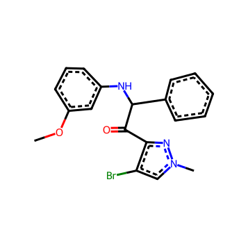 COc1cccc(NC(C(=O)c2nn(C)cc2Br)c2ccccc2)c1